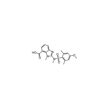 COc1cc(C)c(S(=O)(=O)N(C)c2nc3cccc(C(=O)O)c3n2C)c(C)c1